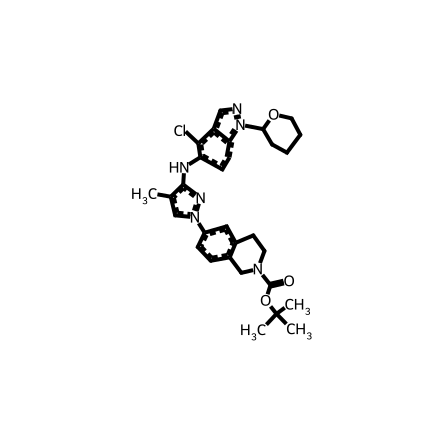 Cc1cn(-c2ccc3c(c2)CCN(C(=O)OC(C)(C)C)C3)nc1Nc1ccc2c(cnn2C2CCCCO2)c1Cl